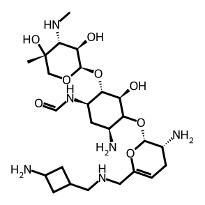 CN[C@@H]1[C@@H](O)[C@@H](O[C@H]2[C@H](NC=O)C[C@H](N)C(O[C@H]3OC(CNCC4CC(N)C4)=CC[C@H]3N)[C@@H]2O)OC[C@]1(C)O